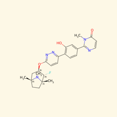 CN1[C@]2(C)CC[C@@]1(C)[C@@H](F)[C@H](Oc1ccc(-c3ccc(-c4nccc(=O)n4C)cc3O)nn1)C2